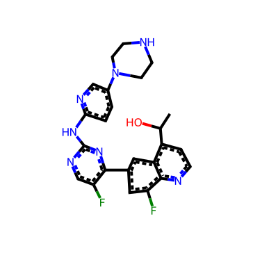 CC(O)c1ccnc2c(F)cc(-c3nc(Nc4ccc(N5CCNCC5)cn4)ncc3F)cc12